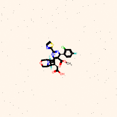 COC(=O)C1=C(CN2C3COCC2C2(F)[C@H](CC(=O)O)CC32F)NC(c2nccs2)=N[C@H]1c1ccc(F)cc1Cl